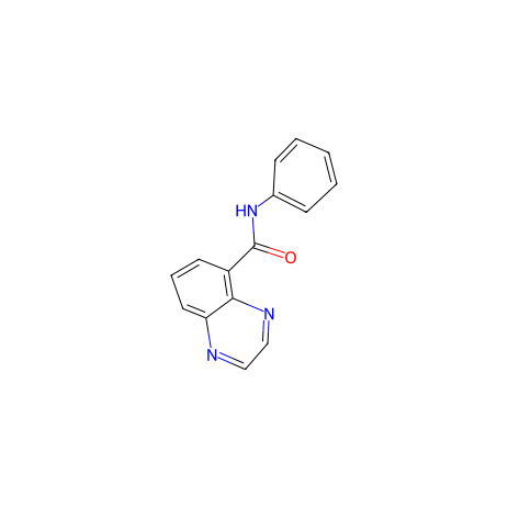 O=C(Nc1ccccc1)c1cccc2nccnc12